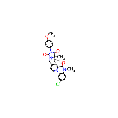 CN(C(=O)c1cc(CN2C(=O)N(c3ccc(OC(F)(F)F)cc3)C(=O)C2(C)C)ccn1)c1ccc(Cl)cc1